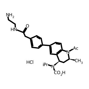 CC(=O)N1c2ccc(-c3ccc(CC(=O)NCCN)cc3)cc2[C@H](N(C(=O)O)C(C)C)C[C@@H]1C.Cl